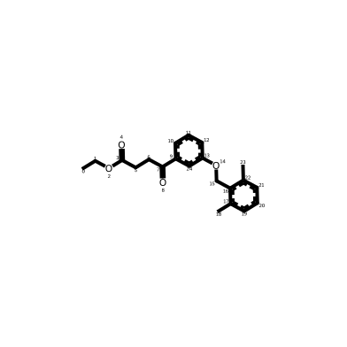 CCOC(=O)CCC(=O)c1cccc(OCc2c(C)cccc2C)c1